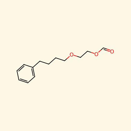 O=COCCOCCCCc1ccccc1